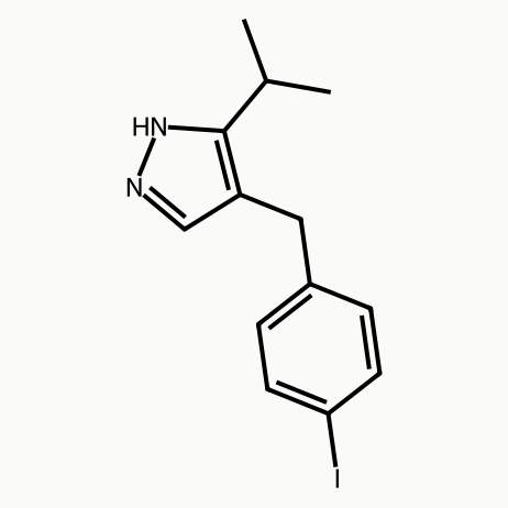 CC(C)c1[nH]ncc1Cc1ccc(I)cc1